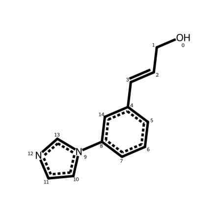 OC/C=C/c1cccc(-n2ccnc2)c1